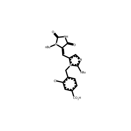 CCCCc1ncc(/C=C2\C(=O)NC(=O)N2CCCC)n1Cc1ccc(C(=O)O)cc1Cl